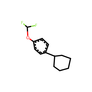 FC(F)Oc1ccc([C]2CCCCC2)cc1